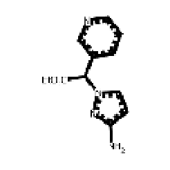 CCOC(=O)C(c1cccnc1)n1ccc(N)n1